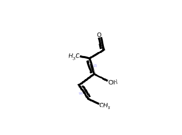 C/C=C\C(O)=C(/C)C=O